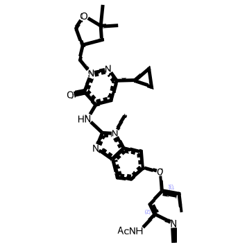 C=N/C(=C\C(=C/C)Oc1ccc2nc(Nc3cc(C4CC4)nn(CC4COC(C)(C)C4)c3=O)n(C)c2c1)NC(C)=O